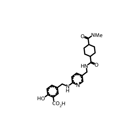 CNC(=O)C1CCC(C(=O)NCc2ccc(NCc3ccc(O)c(C(=O)O)c3)nc2)CC1